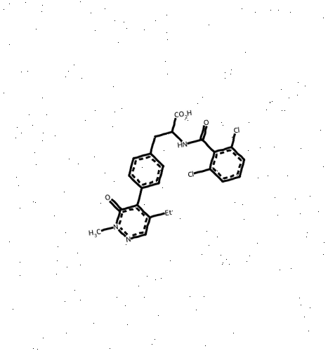 CCc1cnn(C)c(=O)c1-c1ccc(CC(NC(=O)c2c(Cl)cccc2Cl)C(=O)O)cc1